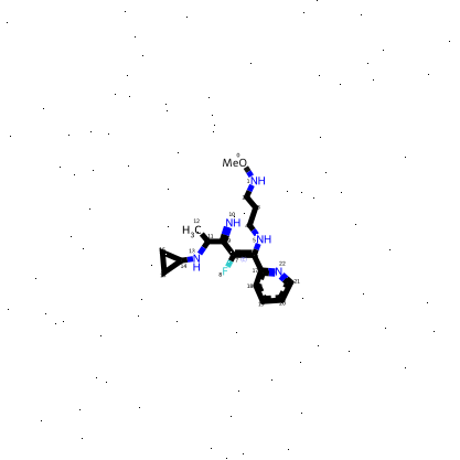 CONCCCN/C(=C(/F)C(=N)C(C)NC1CC1)c1ccccn1